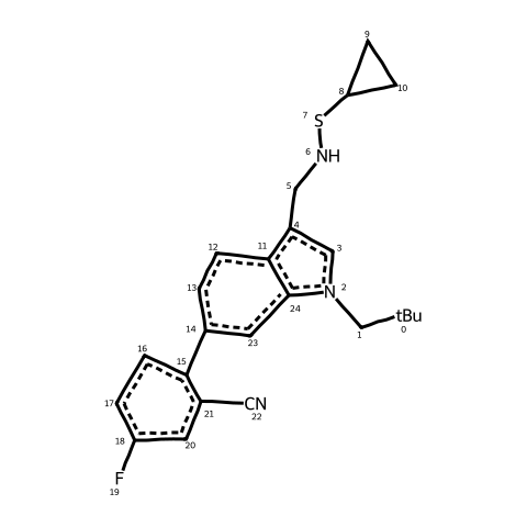 CC(C)(C)Cn1cc(CNSC2CC2)c2ccc(-c3ccc(F)cc3C#N)cc21